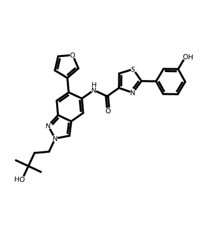 CC(C)(O)CCn1cc2cc(NC(=O)c3csc(-c4cccc(O)c4)n3)c(-c3ccoc3)cc2n1